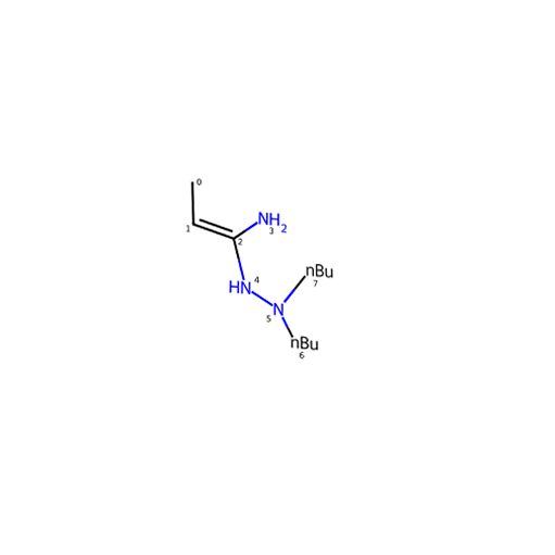 CC=C(N)NN(CCCC)CCCC